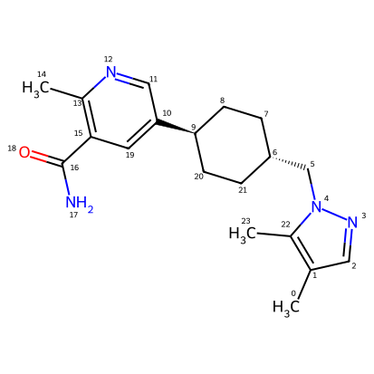 Cc1cnn(C[C@H]2CC[C@H](c3cnc(C)c(C(N)=O)c3)CC2)c1C